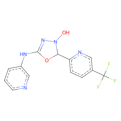 ON1N=C(Nc2cccnc2)OC1c1ccc(C(F)(F)F)cn1